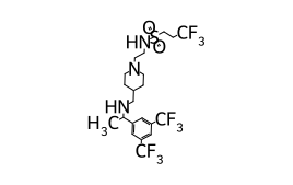 CC(NCC1CCN(CCNS(=O)(=O)CCC(F)(F)F)CC1)c1cc(C(F)(F)F)cc(C(F)(F)F)c1